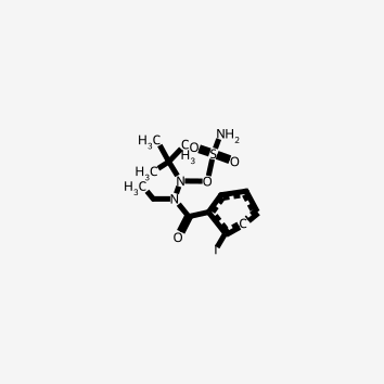 CCN(C(=O)c1ccccc1I)N(OS(N)(=O)=O)C(C)(C)C